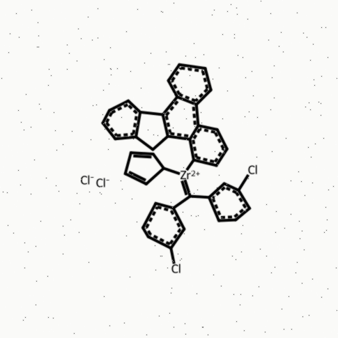 Clc1cccc([C](c2cccc(Cl)c2)=[Zr+2]([c]2cccc3c2c2c(c4ccccc43)-c3ccccc3C2)[CH]2C=CC=C2)c1.[Cl-].[Cl-]